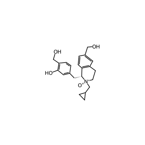 [O-][N@@+]1(CC2CC2)CCc2cc(CO)ccc2[C@H]1Cc1ccc(CO)c(O)c1